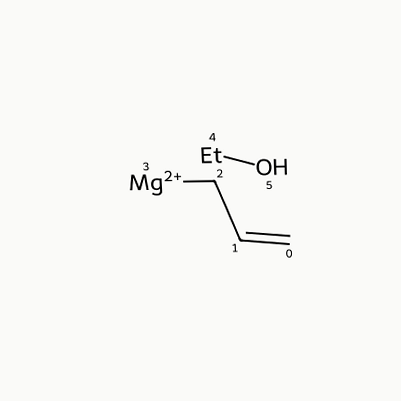 C=C[CH2][Mg+2].CCO